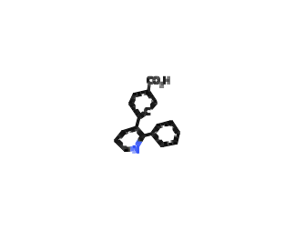 O=C(O)c1ccc(-c2cccnc2-c2ccccc2)cc1